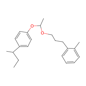 CCC(C)c1ccc(OC(C)OCCCc2ccccc2C)cc1